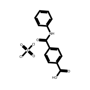 O=C(O)c1ccc(C(=O)Nc2ccccc2)cc1.O=S(=O)(Cl)Cl